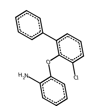 Nc1ccccc1Oc1c(Cl)cccc1-c1ccccc1